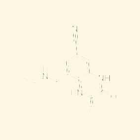 C[CH]NCc1cc(C#N)cc2[nH]c(=O)c(=O)[nH]c12